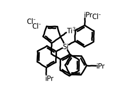 CC(C)c1cccc([Si](c2cccc(C(C)C)c2)(c2cccc(C(C)C)c2)[C]2([Ti+3])C=CC=C2Cc2ccccc2)c1.[Cl-].[Cl-].[Cl-]